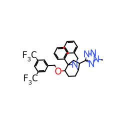 Cn1nnc(C2CC3(c4ccccc4)C(OCc4cc(C(F)(F)F)cc(C(F)(F)F)c4)CCC2N3Cc2ccccc2)n1